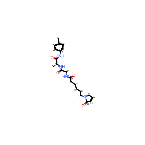 Cc1ccc(NC(=O)[C@H](C)NC(=O)CNC(=O)CCCCCN2CC=CC2=O)cc1